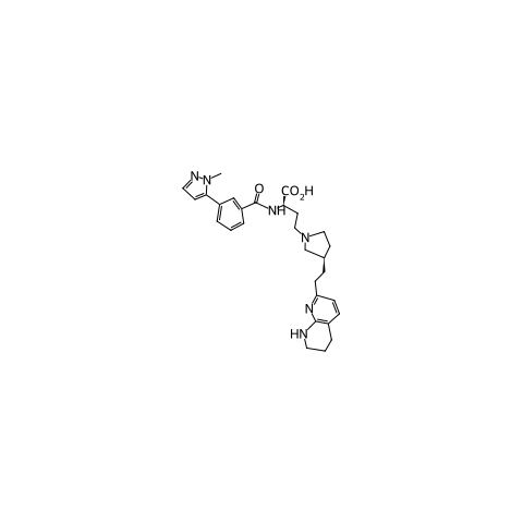 Cn1nccc1-c1cccc(C(=O)N[C@H](CCN2CC[C@@H](CCc3ccc4c(n3)NCCC4)C2)C(=O)O)c1